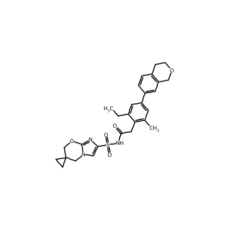 CCc1cc(-c2ccc3c(c2)COCC3)cc(C)c1CC(=O)NS(=O)(=O)c1cn2c(n1)OCC1(CC1)C2